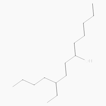 CCCCCC(O)CCC(CC)CCCC